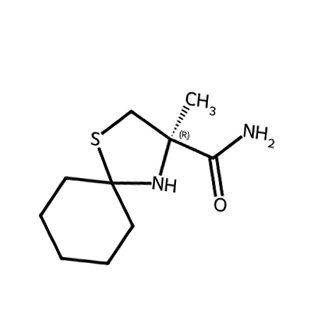 C[C@@]1(C(N)=O)CSC2(CCCCC2)N1